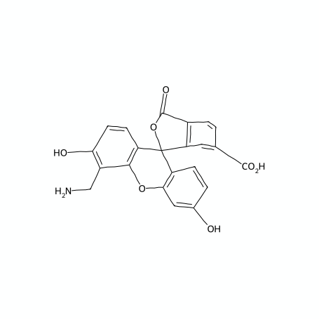 NCc1c(O)ccc2c1Oc1cc(O)ccc1C21OC(=O)c2ccc(C(=O)O)cc21